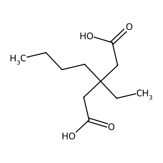 CCCCC(CC)(CC(=O)O)CC(=O)O